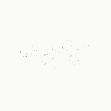 C[C@@H]1C[C@](c2cccc(N3Cc4c(cc(CN(C(=O)OC(C)(C)C)C5(C)CCC5)cc4C(F)(F)F)C3=O)c2)(c2nncn2C)O1